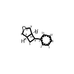 c1ccc(C2C[C@H]3COC[C@@H]23)cc1